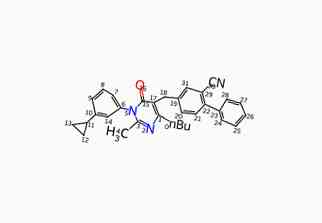 CCCCc1nc(C)n(-c2cccc(C3CC3)c2)c(=O)c1Cc1ccc(-c2ccccc2)c(C#N)c1